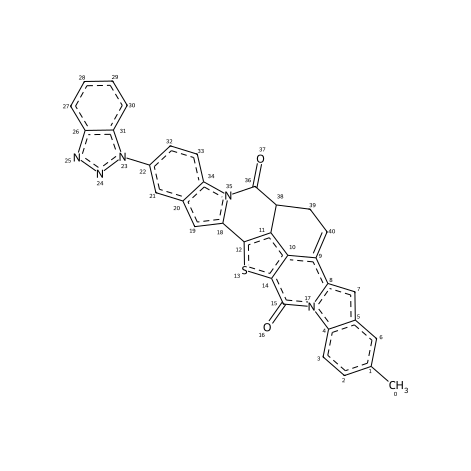 Cc1ccc2c(c1)cc1c3c4c5c(sc4c(=O)n12)-c1cc2cc(-n4nnc6ccccc64)ccc2n1C(=O)C5CC=3